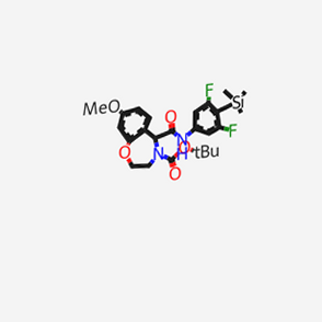 COc1ccc2c(c1)OCCN(C(=O)OC(C)(C)C)C2C(=O)Nc1cc(F)c([Si](C)(C)C)c(F)c1